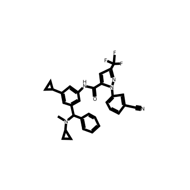 CN(C1CC1)C(c1ccccc1)c1cc(NC(=O)c2cc(C(F)(F)F)nn2-c2cccc(C#N)c2)cc(C2CC2)c1